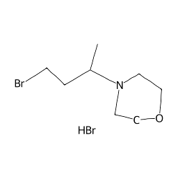 Br.CC(CCBr)N1CCOCC1